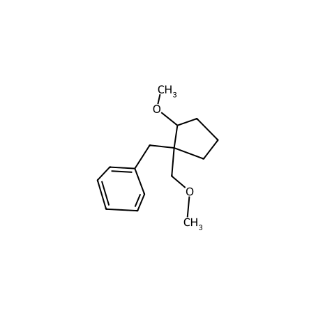 COCC1(Cc2ccccc2)CCCC1OC